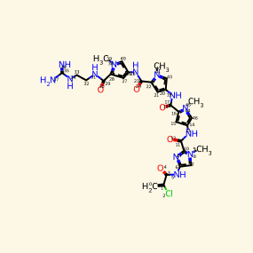 C=C(Cl)C(=O)Nc1cn(C)c(C(=O)Nc2cc(C(=O)Nc3cc(C(=O)Nc4cc(C(=O)NCCNC(=N)N)n(C)c4)n(C)c3)n(C)c2)n1